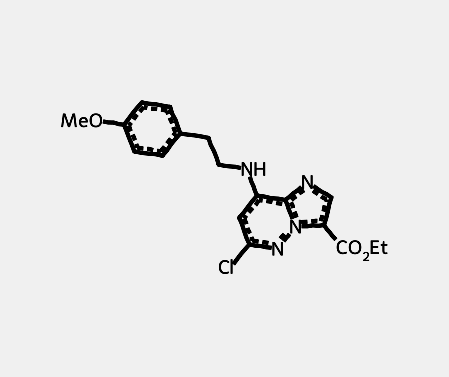 CCOC(=O)c1cnc2c(NCCc3ccc(OC)cc3)cc(Cl)nn12